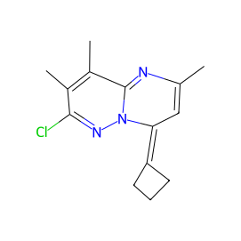 CC1=CC(=C2CCC2)N2N=C(Cl)C(C)=C(C)C2=N1